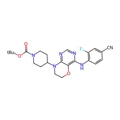 CC(C)(C)OC(=O)N1CCC(N2CCOc3c(Nc4ccc(C#N)cc4F)ncnc32)CC1